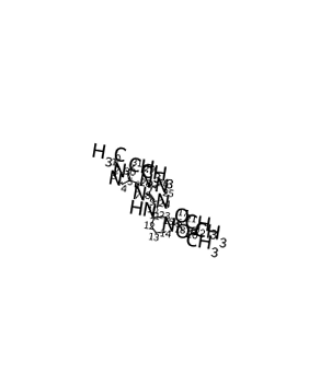 CCn1ncc(-c2nc3c(N[C@H]4CCCN(C(=O)OC(C)(C)C)C4)ncnc3n2C)c1C